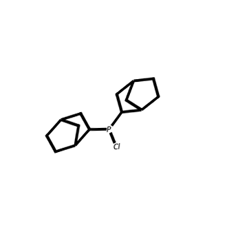 ClP(C1CC2CCC1C2)C1CC2CCC1C2